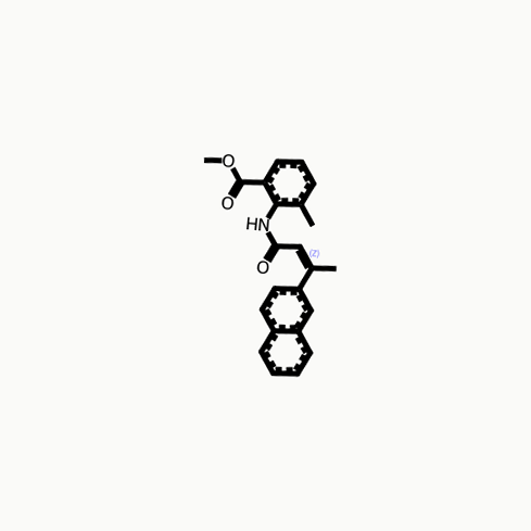 COC(=O)c1cccc(C)c1NC(=O)/C=C(/C)c1ccc2ccccc2c1